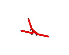 CC#CC#CC#CC#CC#CC#CC#CC#CC(=O)OCCOCC(COCCOC(=O)C#CC#CC#CC#CC#CC#CC#CC#CC)OCCOC(=O)C#CC#CC#CC#CC#CC#CC#CC#CC